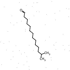 CC(C)CCCCCCCCCCC[C]=O